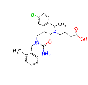 Cc1ccccc1CN(CCCN(CCCC(=O)O)C(C)c1ccc(Cl)cc1)C(N)=O